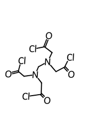 O=C(Cl)CN(CC(=O)Cl)CN(CC(=O)Cl)CC(=O)Cl